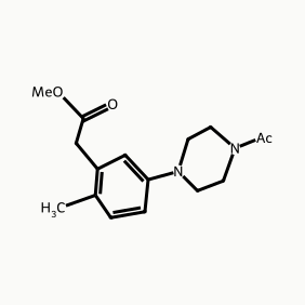 COC(=O)Cc1cc(N2CCN(C(C)=O)CC2)ccc1C